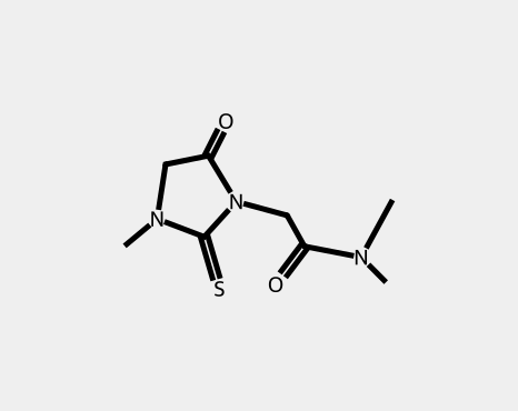 CN(C)C(=O)CN1C(=O)CN(C)C1=S